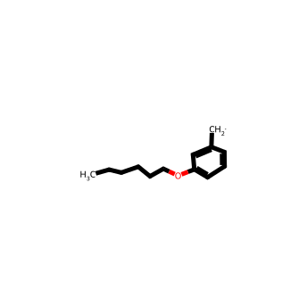 [CH2]c1cccc(OCCCCCC)c1